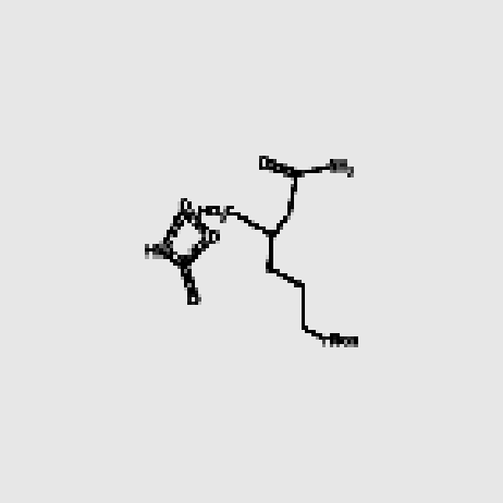 CCCCCCCCCCCCC(CC(N)=O)C(=O)O.O=c1[nH]oo1